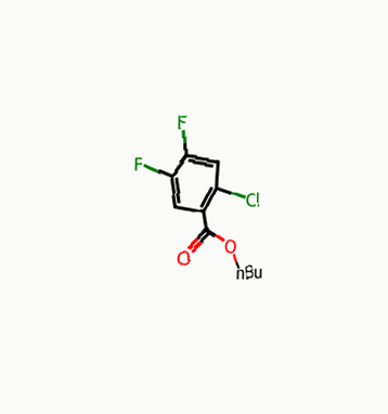 CCCCOC(=O)c1cc(F)c(F)cc1Cl